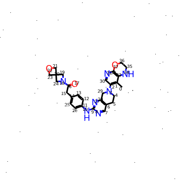 Cc1c(N2CCc3cnc(Nc4ccc(CC(=O)N5CC6(COC6)C5)cc4)nc3C2)cnc2c1NCCO2